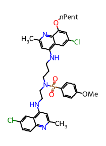 CCCCCOc1cc(Cl)cc2c(NCCCN(CCNc3cc(C)nc4ccc(Cl)cc34)S(=O)(=O)c3ccc(OC)cc3)cc(C)nc12